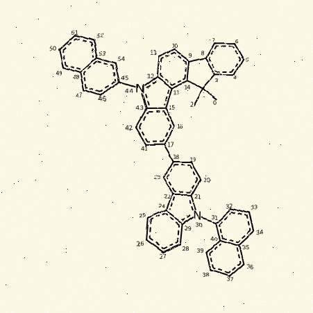 CC1(C)c2ccccc2-c2ccc3c(c21)c1cc(-c2ccc4c(c2)c2ccccc2n4-c2cccc4ccccc24)ccc1n3-c1ccc2ccccc2c1